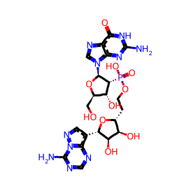 Nc1nc2c(ncn2[C@@H]2O[C@H](CO)[C@@H](O)[C@H]2P(=O)(O)OCC[C@H]2O[C@@H](c3cnn4c(N)ncnc34)[C@H](O)[C@@H]2O)c(=O)[nH]1